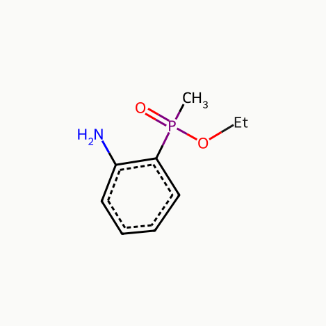 CCOP(C)(=O)c1ccccc1N